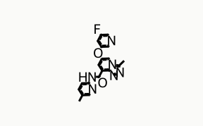 Cc1ccc(NC(=O)c2cc(Oc3cncc(F)c3)cn3c(C)nnc23)nc1